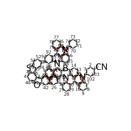 N#Cc1ccc(N(c2ccccc2)c2ccc3c(c2)N(c2c(-c4ccccc4)cccc2-c2ccccc2)c2cc(-c4ccc5oc6ccc7sc8ccccc8c7c6c5c4)cc4c2B3c2ccc(N(c3ccccc3)c3ccccc3)cc2N4c2c(-c3ccccc3)cccc2-c2ccccc2)cc1